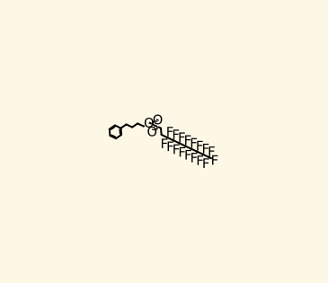 O=S(=O)(CCC(F)(F)C(F)(F)C(F)(F)C(F)(F)C(F)(F)C(F)(F)C(F)(F)C(F)(F)F)OCCCCc1ccccc1